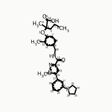 CCCC(C)(Oc1ccc(CNC(=O)c2cc(-c3cccc(N4CCCC4)c3)n(C)n2)cc1C)C(=O)O